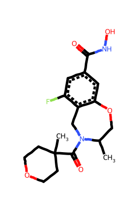 CC1COc2cc(C(=O)NO)cc(F)c2CN1C(=O)C1(C)CCOCC1